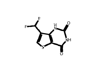 O=c1[nH]c(=O)c2scc(C(F)F)c2[nH]1